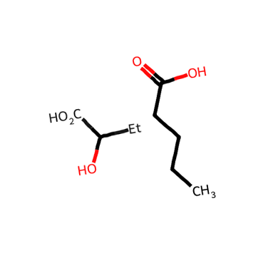 CCC(O)C(=O)O.CCCCC(=O)O